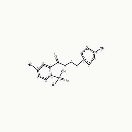 O=C(CCCc1ccc(O)cc1)c1cc(O)ccc1P(=O)(O)O